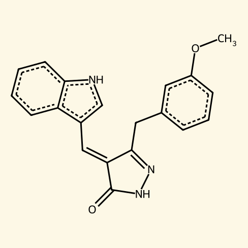 COc1cccc(CC2=NNC(=O)C2=Cc2c[nH]c3ccccc23)c1